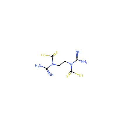 N=C(N)N(CCN(C(=N)N)C(=S)S)C(=S)S